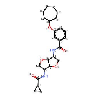 O=C(NC1COC2C(NC(=O)C3CC3)COC12)c1cccc(OC2CCCCCC2)c1